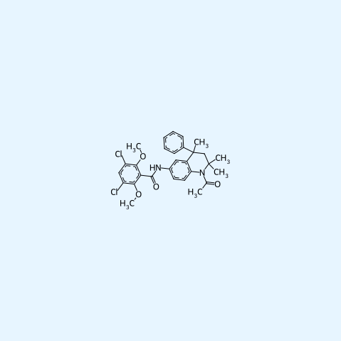 COc1c(Cl)cc(Cl)c(OC)c1C(=O)Nc1ccc2c(c1)C(C)(c1ccccc1)CC(C)(C)N2C(C)=O